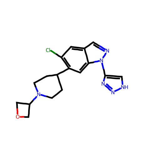 Clc1cc2cnn(-c3c[nH]nn3)c2cc1C1CCN(C2COC2)CC1